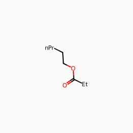 CCCCCOC(=O)CC